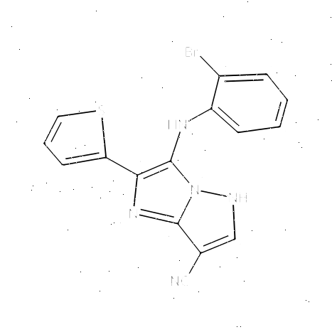 N#Cc1c[nH]n2c(Nc3ccccc3Br)c(-c3cccs3)nc12